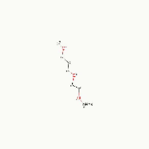 CCCCCCOCCOCCCOCC